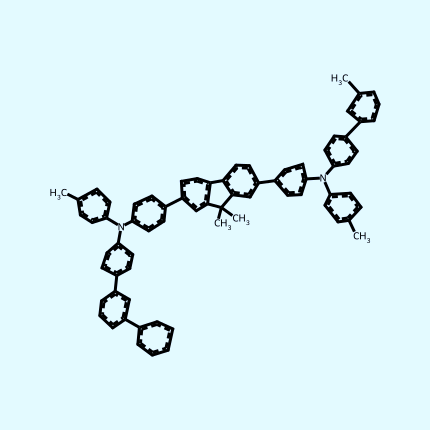 Cc1ccc(N(c2ccc(-c3cccc(C)c3)cc2)c2ccc(-c3ccc4c(c3)C(C)(C)c3cc(-c5ccc(N(c6ccc(C)cc6)c6ccc(-c7cccc(-c8ccccc8)c7)cc6)cc5)ccc3-4)cc2)cc1